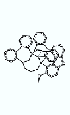 COc1ccc2oc3cccc4c3c2c1C12CCCC3CC(CC4C1)(c1ccccc1-c1ccccc13)[C@H]2c1ccccc1-c1ccccc1C